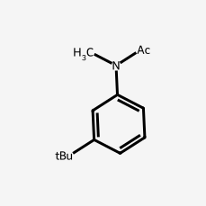 CC(=O)N(C)c1cccc(C(C)(C)C)c1